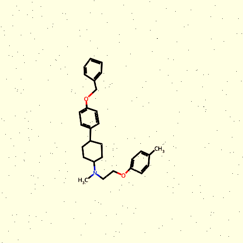 Cc1ccc(OCCN(C)C2CCC(c3ccc(OCc4ccccc4)cc3)CC2)cc1